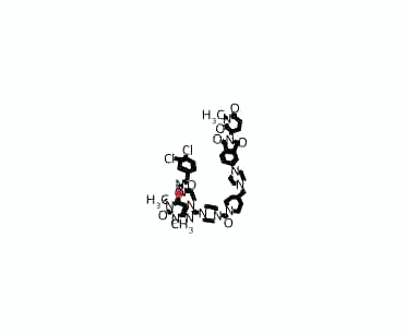 CN1C(=O)CCC(N2C(=O)c3ccc(N4CCN(CC5CCN(C(=O)N6CCN(c7nc8c(c(=O)n(C)c(=O)n8C)n7Cc7nnc(-c8ccc(Cl)c(Cl)c8)o7)CC6)CC5)CC4)cc3C2=O)C1=O